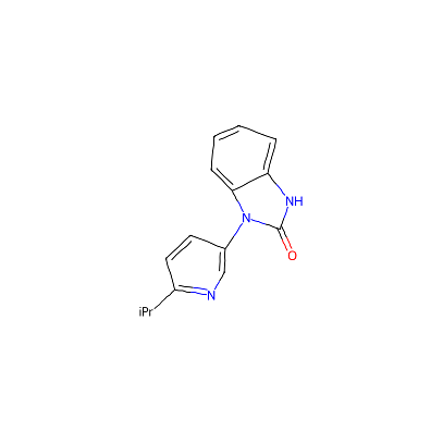 CC(C)c1ccc(-n2c(=O)[nH]c3ccccc32)cn1